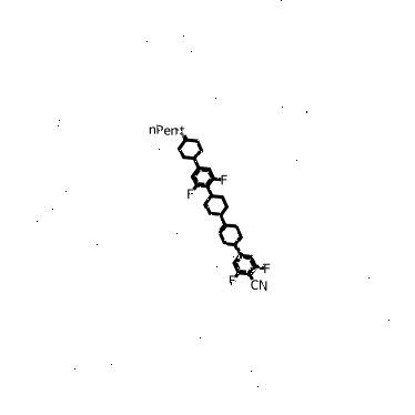 CCCCCC1CCC(c2cc(F)c(C3CCC(C4CCC(c5cc(F)c(C#N)c(F)c5)CC4)CC3)c(F)c2)CC1